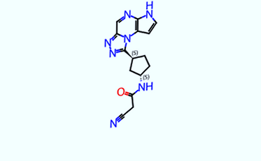 N#CCC(=O)N[C@H]1CC[C@H](c2nnc3cnc4[nH]ccc4n23)C1